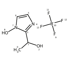 CC(O)c1nccn1O.F[B-](F)(F)F